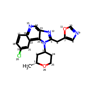 C[C@@H]1CC(n2c(Cc3cnco3)nc3cnc4ccc(Cl)cc4c32)CCO1